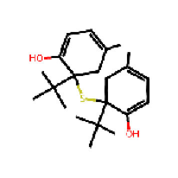 CC1=CC=C(O)C(SC2(C(C)(C)C)CC(C)=CC=C2O)(C(C)(C)C)C1